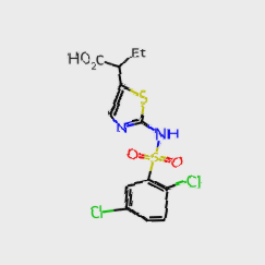 CCC(C(=O)O)c1cnc(NS(=O)(=O)c2cc(Cl)ccc2Cl)s1